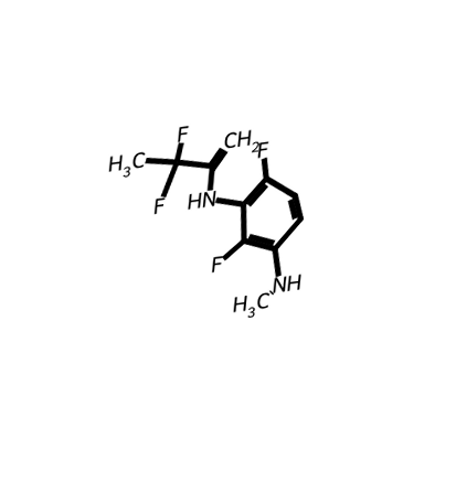 C=C(Nc1c(F)ccc(NC)c1F)C(C)(F)F